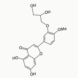 COc1ccc(-c2cc(=O)c3c(O)cc(O)cc3o2)cc1OCC(O)CO